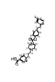 Cc1ccnc(CCc2ccc(OC(=O)N3CCN(CCCc4ccc(C(=O)O)cn4)CC3)cc2)c1